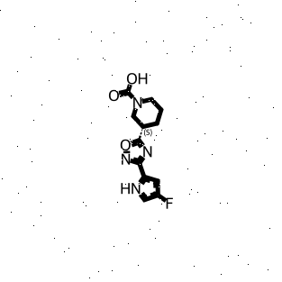 O=C(O)N1CCC[C@H](c2nc(-c3cc(F)c[nH]3)no2)C1